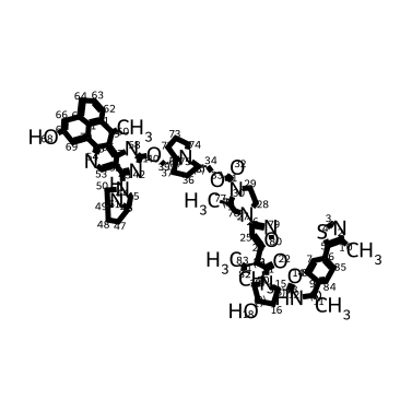 Cc1ncsc1-c1ccc([C@H](C)NC(=O)[C@@H]2C[C@@H](O)CN2C(=O)[C@H](c2cc(N3CCN(C(=O)OC[C@@H]4CC[C@@]5(COc6nc(N7CC8CCC(C7)N8)c7cnc8c(c7n6)C(C)c6cccc7cc(O)cc-8c67)CCCN45)[C@H](C)C3)no2)C(C)C)cc1